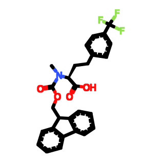 CN(C(=O)OCC1c2ccccc2-c2ccccc21)[C@@H](CCc1ccc(C(F)(F)F)cc1)C(=O)O